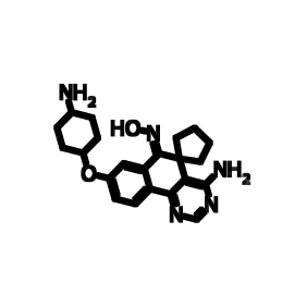 Nc1ncnc2c1C1(CCCC1)C(=NO)c1cc(OC3CCC(N)CC3)ccc1-2